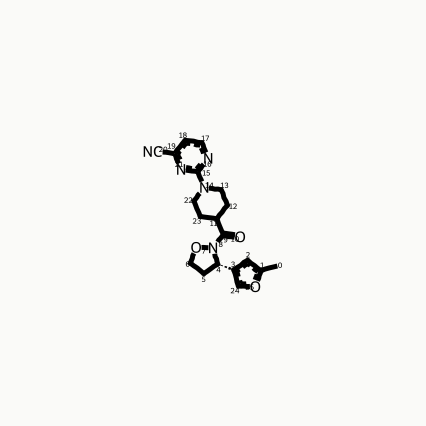 Cc1cc([C@@H]2CCON2C(=O)C2CCN(c3nccc(C#N)n3)CC2)co1